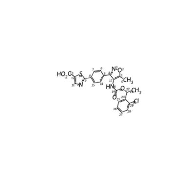 Cc1onc(-c2ccc(-c3ncc(C(=O)O)s3)cc2)c1NC(=O)OC(C)c1ccccc1Cl